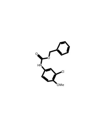 COc1ccc(NC(=O)OCc2ccccc2)cc1Cl